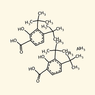 CC(C)(C)c1ccc(C(=O)O)c(O)c1C(C)(C)C.CC(C)(C)c1ccc(C(=O)O)c(O)c1C(C)(C)C.[AlH3]